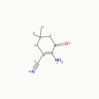 CC1(C)CC(=O)C(N)=C(C#N)C1